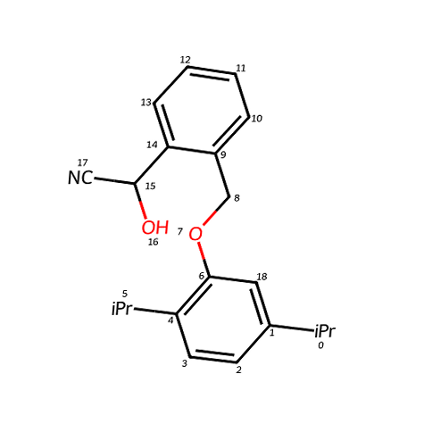 CC(C)c1ccc(C(C)C)c(OCc2ccccc2C(O)C#N)c1